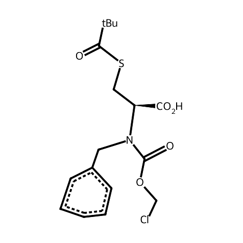 CC(C)(C)C(=O)SC[C@@H](C(=O)O)N(Cc1ccccc1)C(=O)OCCl